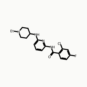 CCN1CCC(Nc2cccc(NC(=O)c3ccc(F)cc3Cl)n2)CC1